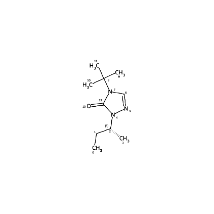 CC[C@@H](C)n1ncn(C(C)(C)C)c1=O